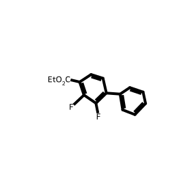 CCOC(=O)c1ccc(-c2ccccc2)c(F)c1F